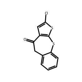 O=C1Cc2ccccc2Sc2sc(Cl)cc21